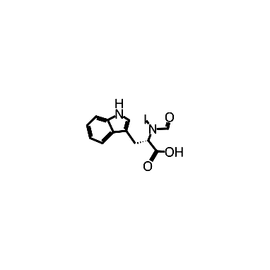 O=CN(I)[C@@H](Cc1c[nH]c2ccccc12)C(=O)O